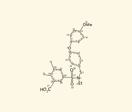 CCN(Sc1ccc(Oc2ccc(OC)cc2)cc1)S(=O)(=O)c1cc(C)c(C)c(C(=O)O)c1